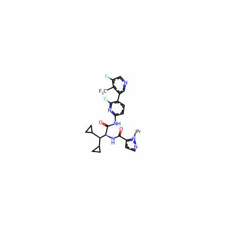 CC(C)n1nccc1C(=O)N[C@H](C(=O)Nc1ccc(-c2cncc(F)c2C(F)(F)F)c(F)n1)C(C1CC1)C1CC1